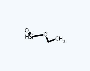 CCO[SiH]=O